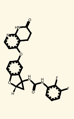 O=C1CCc2c(Oc3ccc4c(c3)C3(NC(=O)Nc5cccc(F)c5F)C[C@@H]3O4)ccnc2N1